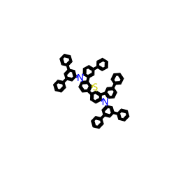 c1ccc(-c2cc(-c3ccccc3)cc(-n3c4ccc(-c5ccccc5)cc4c4c5sc6c(ccc7c6c6cc(-c8ccccc8)ccc6n7-c6cc(-c7ccccc7)cc(-c7ccccc7)c6)c5ccc43)c2)cc1